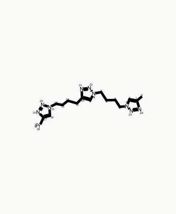 Cc1cn(CCCCn2cc(CCCCn3cc(C(C)C)nn3)nn2)nn1